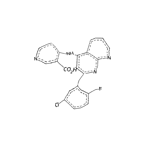 O=C(O)c1cnccc1Nc1cc(-c2cc(Cl)ccc2F)nc2ncccc12